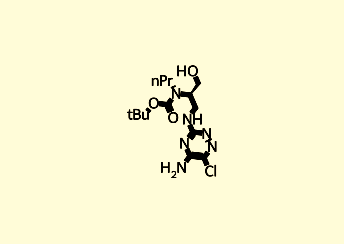 CCCN(C(=O)OC(C)(C)C)[C@@H](CO)CNc1nnc(Cl)c(N)n1